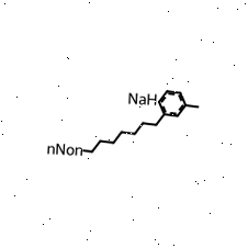 CCCCCCCCCCCCCCCCc1cccc(C)c1.[NaH]